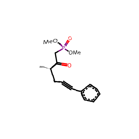 COP(=O)(CC(=O)[C@@H](C)CC#Cc1ccccc1)OC